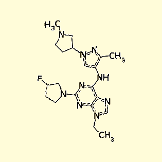 CCn1cnc2c(Nc3cn(C4CCN(C)C4)nc3C)nc(N3CCC(F)C3)nc21